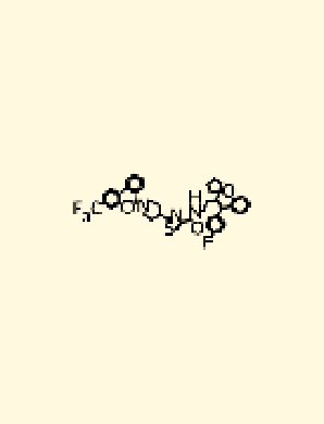 O=C(NCCC1=C(c2ccc(F)cc2)c2ccccc2OC12CCCC2)c1csc(C2CCN(C(=O)c3ccccc3-c3ccc(C(F)(F)F)cc3)CC2)n1